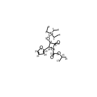 CC[Si](CC)(CC)OC1C(=O)N(C(=O)OC(C)C)C1c1ccco1